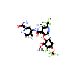 COc1c(Oc2cnc(C(F)(F)F)c(C)c2C(=O)Nc2cc(C(N)=O)ncc2C)ccc(OC(F)(F)F)c1F